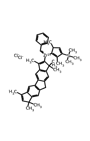 CC1=CC(C)(C)c2cc3c(cc21)-c1cc2c(cc1C3)C(C)(C)[C]([Zr+2](=[CH]c1ccccc1)[C]1=C(C)C([Si](C)(C)C)=CC1C)=C2C.[Cl-].[Cl-]